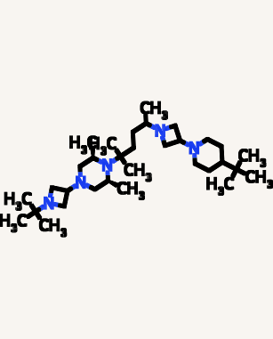 CC(CCC(C)(C)N1[C@H](C)CN(C2CN(C(C)(C)C)C2)C[C@@H]1C)N1CC(N2CCC(C(C)(C)C)CC2)C1